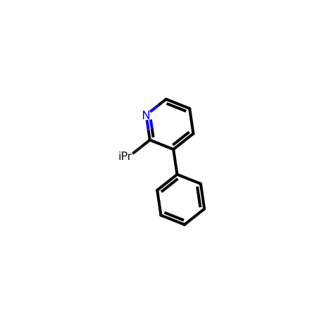 CC(C)c1ncccc1-c1ccccc1